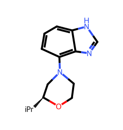 CC(C)[C@H]1CN(c2cccc3[nH]cnc23)CCO1